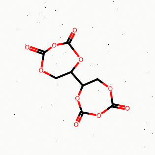 O=C1OCC(C2COC(=O)OC(=O)O2)OC(=O)O1